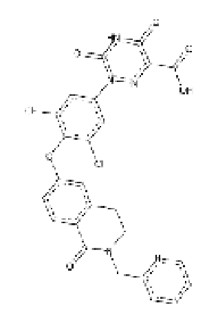 O=C(O)c1nn(-c2cc(Cl)c(Oc3ccc4c(c3)CCN(Cc3ccccn3)C4=O)c(Cl)c2)c(=O)[nH]c1=O